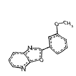 COc1cccc(-c2nc3cccnc3o2)c1